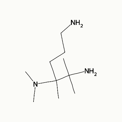 CN(C)C(C)(CCCN)C(C)(C)N